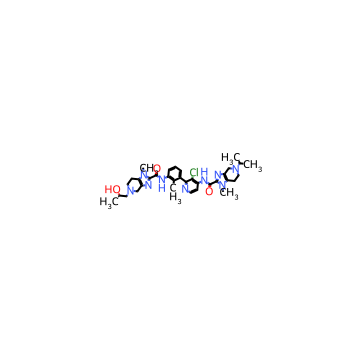 Cc1c(NC(=O)c2nc3c(n2C)CCN(C[C@H](C)O)C3)cccc1-c1nccc(NC(=O)c2nc3c(n2C)CCN(C(C)C)C3)c1Cl